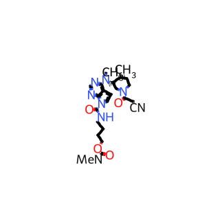 CNC(=O)OCCCCNC(=O)n1ccc2c(N(C)[C@H]3CN(C(=O)CC#N)CC[C@H]3C)ncnc21